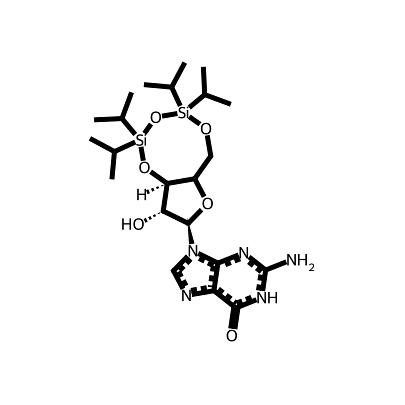 CC(C)[Si]1(C(C)C)OCC2O[C@@H](n3cnc4c(=O)[nH]c(N)nc43)[C@H](O)[C@H]2O[Si](C(C)C)(C(C)C)O1